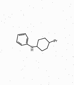 CC(C)C1CCC(Nc2ccccc2)CC1